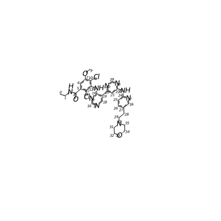 CCNC(=O)c1cc(OC)c(Cl)c(Nc2ncncc2-c2cc(Nc3ccc(CCN4CCOCC4)cn3)ncn2)c1Cl